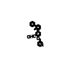 Cc1c(-c2ccccc2)cccc1N1C=C(C=O)C(OCc2cccnc2)=CC1